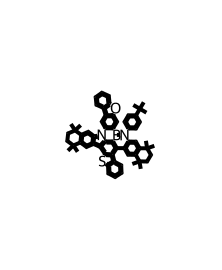 CC(C)(C)c1ccc(N2B3c4cc5oc6ccccc6c5cc4-n4c5cc6c(cc5c5c7sc8ccccc8c7c(c3c54)-c3cc4c(cc32)C(C)(C)CCC4(C)C)C(C)(C)CCC6(C)C)cc1